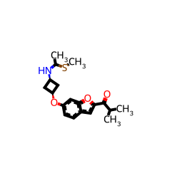 CSC(C)N[C@H]1C[C@@H](Oc2ccc3cc(C(=O)C(C)C)oc3c2)C1